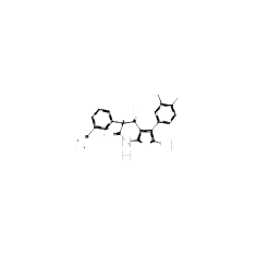 Cc1ccc(-c2c(Cl)sc3c2C(=O)C(F)(c2cccc(C#N)c2)C(=O)N3)cc1C